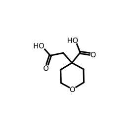 O=C(O)CC1(C(=O)O)CCOCC1